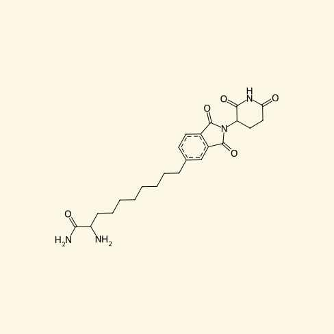 NC(=O)C(N)CCCCCCCCc1ccc2c(c1)C(=O)N(C1CCC(=O)NC1=O)C2=O